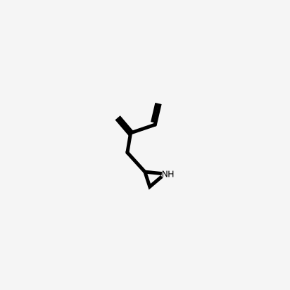 C=CC(=C)CC1CN1